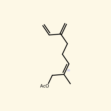 C=CC(=C)CC/C=C(/C)COC(C)=O